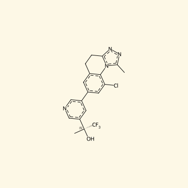 Cc1nnc2n1-c1c(Cl)cc(-c3cncc([C@](C)(O)C(F)(F)F)c3)cc1CC2